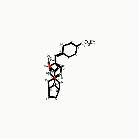 CCOC(=O)C1CCC(=Cc2cnc(N3C4CCC3CN(C(=O)OC(C)(C)C)C4)nc2)CC1